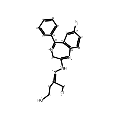 OCCC(CCl)=NNC1=Nc2ccc(Cl)cc2C(c2ccccc2)=NC1